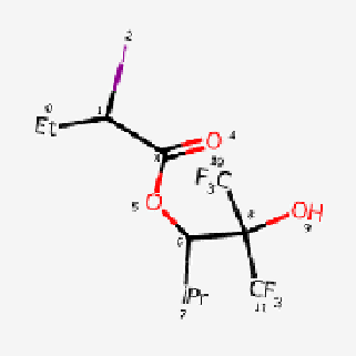 CCC(I)C(=O)OC(C(C)C)C(O)(C(F)(F)F)C(F)(F)F